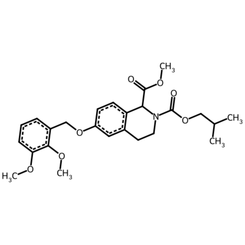 COC(=O)C1c2ccc(OCc3cccc(OC)c3OC)cc2CCN1C(=O)OCC(C)C